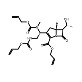 C=CCOC(=O)NC[C@H](C1=C(C(=O)OCC=C)N2C(=O)[C@H]([C@@H](C)O)[C@H]2C1)N(C)C(=O)OCC=C